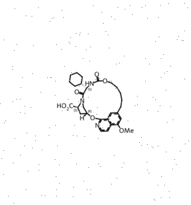 COc1cc2cc3c(nccc13)O[C@@H]1C[C@@H](C(=O)O)N(C1)C(=O)[C@H](C1CCCCC1)NC(=O)OCCCCC2